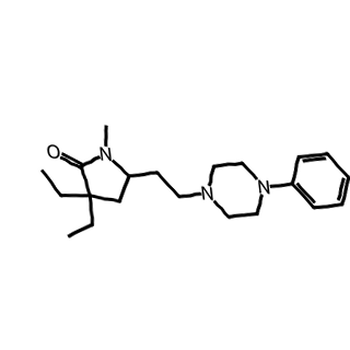 CCC1(CC)CC(CCN2CCN(c3ccccc3)CC2)N(C)C1=O